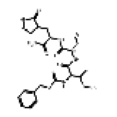 CC(C)C[C@H](NC(=O)C(NC(=O)OCc1ccccc1)C(C)OC(C)(C)C)C(=O)NC(CC1CCNC1=O)C(N)=O